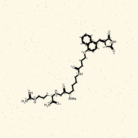 CN[C@@H](CCCCNC(=O)CCCOc1ccc(/C=C2\SC(=O)NC2=O)c2ccccc12)C(=O)CN[C@@H](CCCNC(=N)N)C(N)=O